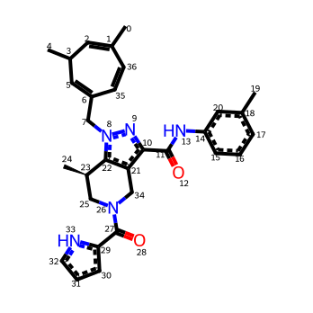 CC1=CC(C)C=C(Cn2nc(C(=O)Nc3cccc(C)c3)c3c2[C@H](C)CN(C(=O)c2ccc[nH]2)C3)C=C1